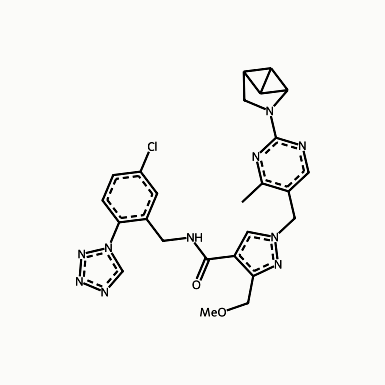 COCc1nn(Cc2cnc(N3CC4C5C4C53)nc2C)cc1C(=O)NCc1cc(Cl)ccc1-n1cnnn1